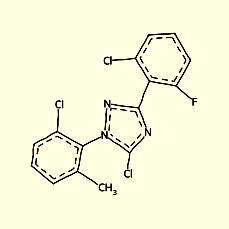 Cc1cccc(Cl)c1-n1nc(-c2c(F)cccc2Cl)nc1Cl